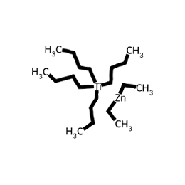 CCC[CH2][Ti]([CH2]CCC)([CH2]CCC)[CH2]CCC.C[CH2][Zn][CH2]C